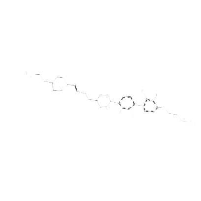 CCCCOc1ccc(-c2ccc(C3CCC(CC/C=C/C4CCC(CCC)CC4)CC3)c(F)c2F)c(F)c1F